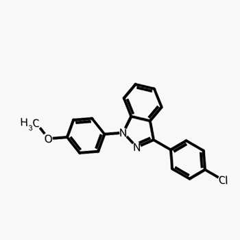 COc1ccc(-n2nc(-c3ccc(Cl)cc3)c3ccccc32)cc1